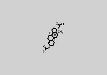 CCC(=O)O[C@@H]1C=C2CC[C@@H]3[C@H](CC[C@]4(C)[C@@H](OC(=O)CC)CC[C@@H]34)C2CC1